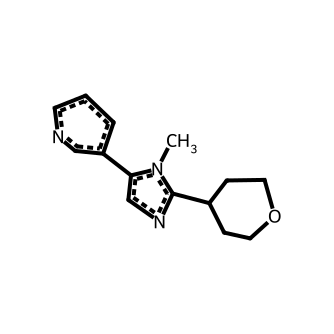 Cn1c(-c2cccnc2)cnc1C1CCOCC1